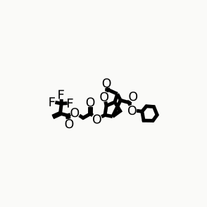 C=C(C(=O)OCC(=O)OC1C2CC3C1OC(=O)C3C2C(=O)OC1CCCCC1)C(F)(F)F